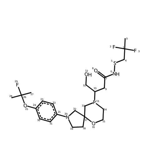 CC(F)(F)CSNC(=O)CC(CO)P1CCOC2(CCN(c3ccc(OC(C)(C)F)cc3)C2)C1